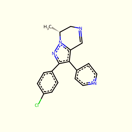 C[C@@H]1CN=Cc2c(-c3ccncc3)c(-c3ccc(Cl)cc3)nn21